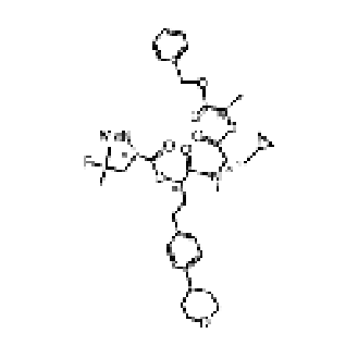 CN[C@@H](CC(C)(C)F)C(=O)O[C@H](CCc1ccc(C2CCOCC2)cc1)C(=O)N(C)[C@@H](CC1CC1)C(=O)O[C@H](C)C(=O)OCc1ccccc1